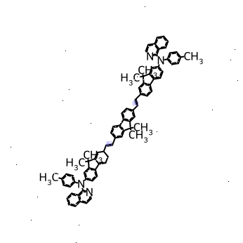 Cc1ccc(N(c2ccc3c(c2)C(C)(C)C2=CC(/C=C/c4ccc5c(c4)C(C)(C)c4cc(/C=C/c6ccc7c(c6)C(C)(C)c6cc(N(c8ccc(C)cc8)c8nccc9ccccc89)ccc6-7)ccc4-5)CC=C23)c2nccc3ccccc23)cc1